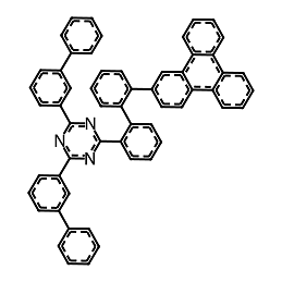 c1ccc(-c2cccc(-c3nc(-c4cccc(-c5ccccc5)c4)nc(-c4ccccc4-c4ccccc4-c4ccc5c6ccccc6c6ccccc6c5c4)n3)c2)cc1